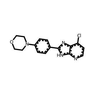 Clc1ccnc2[nH]c(-c3ccc(N4CCOCC4)cc3)nc12